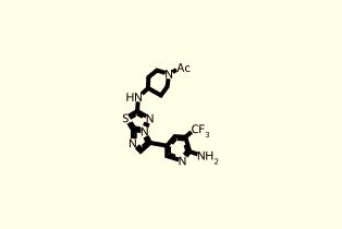 CC(=O)N1CCC(Nc2nn3c(-c4cnc(N)c(C(F)(F)F)c4)cnc3s2)CC1